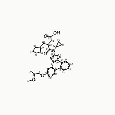 COC(C)COc1ccc(-c2ccccc2-c2csc(N(C(=O)C(CC(=O)O)CC3CCCC3)C3CC3)n2)cn1